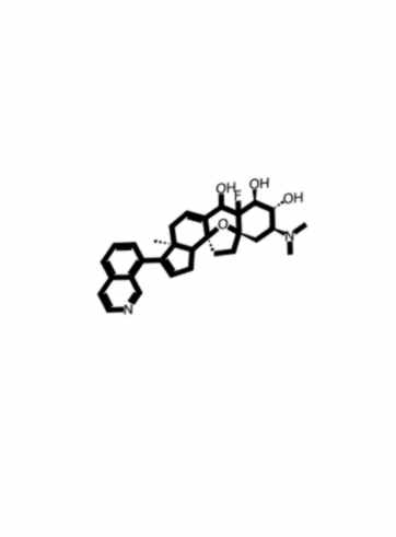 CN(C)[C@H]1C[C@@]23CC[C@@]4(O2)C(=CC[C@]2(C)C(c5cccc6ccncc56)=CCC24)C(O)C3(F)[C@@H](O)[C@@H]1O